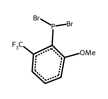 COc1cccc(C(F)(F)F)c1P(Br)Br